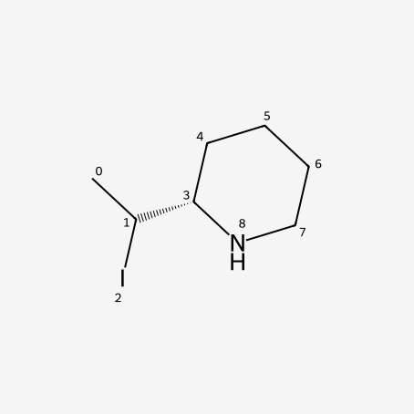 CC(I)[C@@H]1CCCCN1